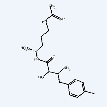 Cc1ccc(CC(N)C(O)C(=O)N[C@@H](CCCNC(=N)N)C(=O)O)cc1